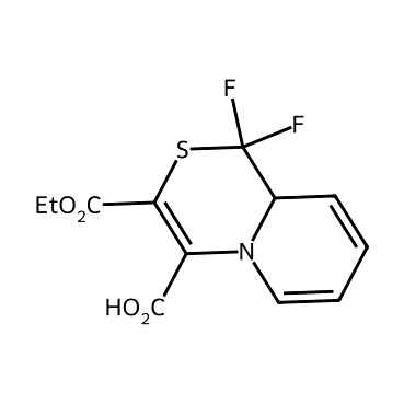 CCOC(=O)C1=C(C(=O)O)N2C=CC=CC2C(F)(F)S1